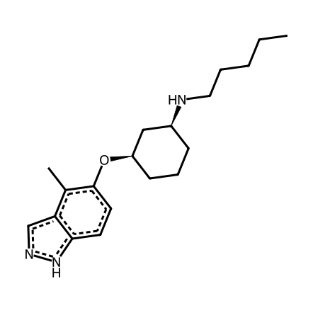 CCCCCN[C@H]1CCC[C@@H](Oc2ccc3[nH]ncc3c2C)C1